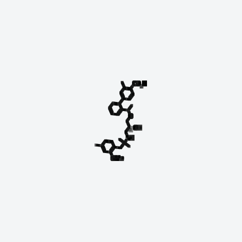 COc1cc(C)ccc1CC(C)(C)NC[C@@H](O)COC(C)c1ccccc1-c1ccc(C(=O)O)c(C)c1